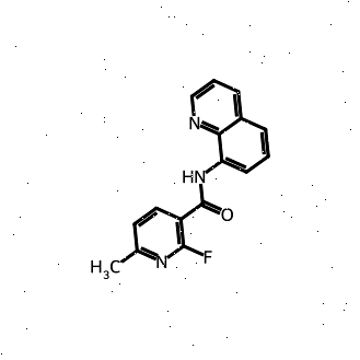 Cc1ccc(C(=O)Nc2cccc3cccnc23)c(F)n1